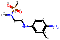 CCN(CCNc1ccc(N)c(C)c1)S(C)(=O)=O